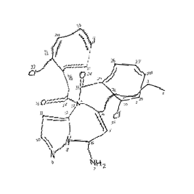 CCCCC1=CC(N)n2nccc2[N+]1(C(=O)c1ccccc1Cl)C(=O)c1ccccc1Cl